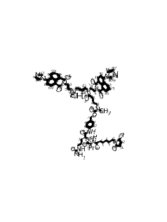 CC(C)[C@H](NC(=O)CCCCCN1C(=O)C=CC1=O)C(=O)N[C@@H](CCCNC(N)=O)C(=O)Nc1ccc(COC(=O)N(C)CCCC(=O)N(CCCN(C)CCN2C(=O)c3cccc4c(-n5ccnc5)ccc(c34)C2=O)CCN2C(=O)c3cccc4c(-n5ccnc5)ccc(c34)C2=O)cc1